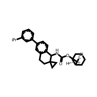 CC(C)c1cccc(-c2ccc3c(c2)CCC2(CC2)C3NC(=O)O[C@H]2CN3CCC2CC3)c1